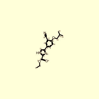 CCOC(=O)c1nc(-c2ccc(OCC(C)C)c(C#N)c2)c[nH]1